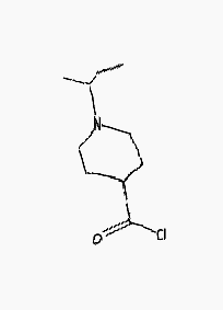 CC(C)N1CCC(C(=O)Cl)CC1